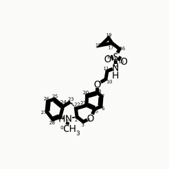 CN[C@H]1COc2ccc(OCCNS(=O)(=O)CC3CC3)cc2[C@H]1Cc1ccccc1